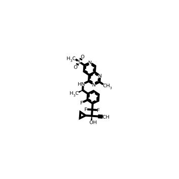 C#C[C@](O)(C1CC1)C(F)(F)c1cccc([C@@H](C)Nc2nc(C)nc3cnc(S(C)(=O)=O)cc23)c1F